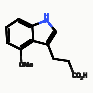 COc1cccc2[nH]cc(CCC(=O)O)c12